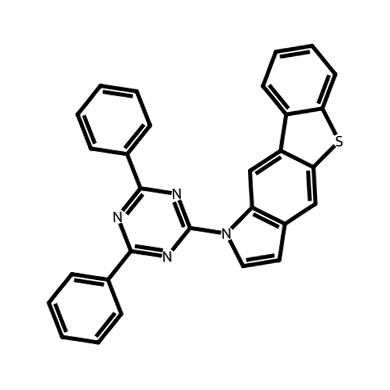 c1ccc(-c2nc(-c3ccccc3)nc(-n3ccc4cc5sc6ccccc6c5cc43)n2)cc1